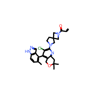 C=CC(=O)N1CC2(CCN(c3nc4c(c(-c5c(C)ccc6[nH]ncc56)c3Cl)COC(C)(C)C4)C2)C1